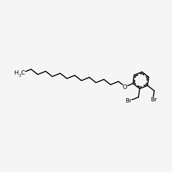 CCCCCCCCCCCCCCOc1cccc(CBr)c1CBr